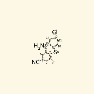 Cc1cc(C#N)ccc1Sc1ccc(Cl)cc1CN